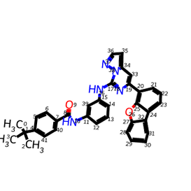 CC(C)(C)c1ccc(C(=O)Nc2cccc(Nc3nc(-c4cccc5c4oc4ccccc45)cc4ccnn34)c2)cc1